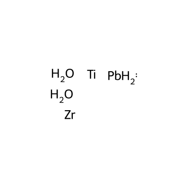 O.O.[PbH2].[Ti].[Zr]